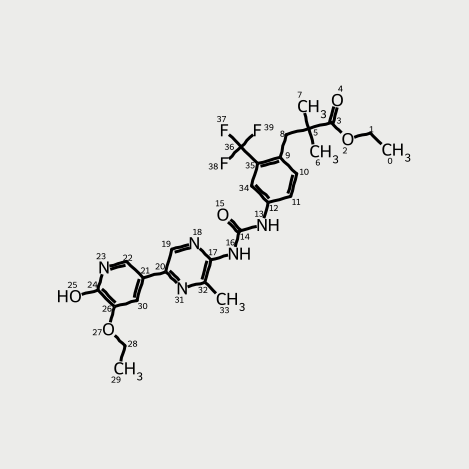 CCOC(=O)C(C)(C)Cc1ccc(NC(=O)Nc2ncc(-c3cnc(O)c(OCC)c3)nc2C)cc1C(F)(F)F